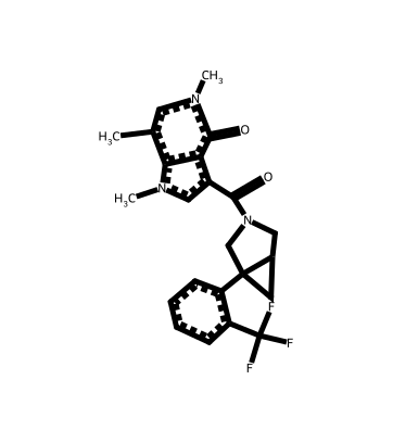 Cc1cn(C)c(=O)c2c(C(=O)N3CC4CC4(c4ccccc4C(F)(F)F)C3)cn(C)c12